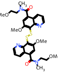 COCCN(C)C(=O)c1cc(OC)c(SSc2c(OC)cc(C(=O)N(C)CCOC)c3cccnc23)c2ncccc12